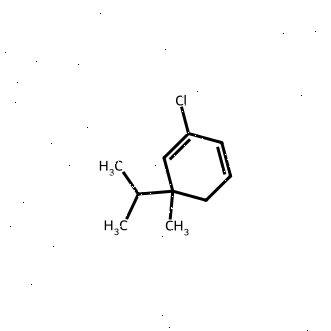 CC(C)C1(C)C=C(Cl)C=CC1